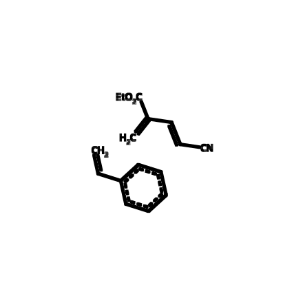 C=C(C=CC#N)C(=O)OCC.C=Cc1ccccc1